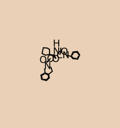 CC(C#N)(NC(=O)C1(OC(=O)N2CCc3ccccc3C2)CCCCC1)OCc1ccccc1